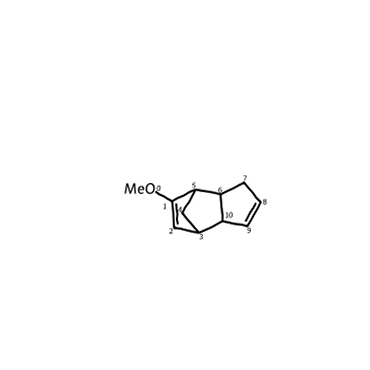 COC1=CC2CC1C1CC=CC21